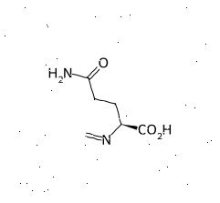 C=N[C@@H](CCC(N)=O)C(=O)O